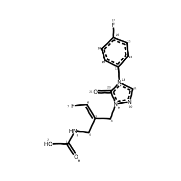 O=C(O)NCC(=CF)Cn1ncn(-c2ccc(F)cc2)c1=O